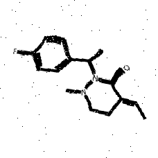 C/C=C1\CCN(C)N(C(C)c2ccc(F)cc2)C1=O